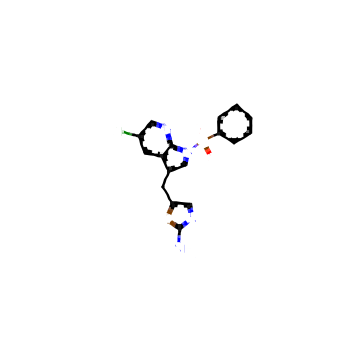 Nc1ncc(Cc2cn(S(=O)(=O)c3ccccc3)c3ncc(Cl)cc23)s1